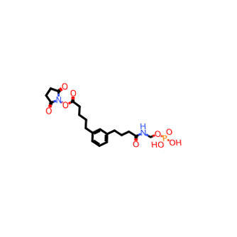 O=C(CCCc1cccc(CCCCC(=O)ON2C(=O)CCC2=O)c1)NCOP(=O)(O)O